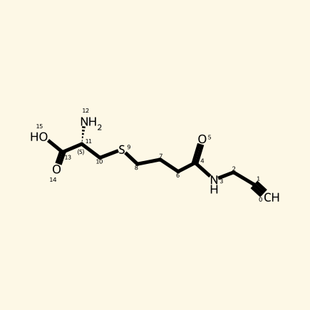 C#CCNC(=O)CCCSC[C@@H](N)C(=O)O